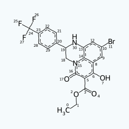 CCOC(=O)c1c(O)c2cc(Br)cc3c2n(c1=O)CC(c1ccc(C(F)(F)F)cc1)N3